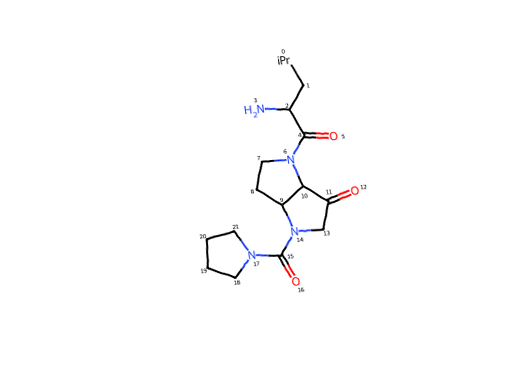 CC(C)CC(N)C(=O)N1CCC2C1C(=O)CN2C(=O)N1CCCC1